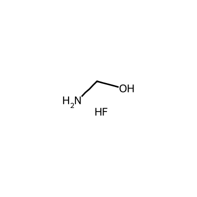 F.NCO